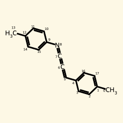 Cc1ccc(C=C=C=Nc2ccc(C)cc2)cc1